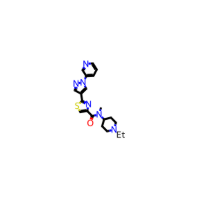 CCN1CCC(N(C)C(=O)c2csc(-c3cnn(-c4cccnc4)c3)n2)CC1